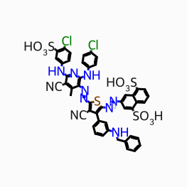 Cc1c(C#N)c(Nc2ccc(Cl)c(S(=O)(=O)O)c2)nc(Nc2ccc(Cl)cc2)c1N=Nc1sc(/N=N/c2cc(S(=O)(=O)O)c3cccc(S(=O)(=O)O)c3c2)c(-c2cccc(NCc3ccccc3)c2)c1C#N